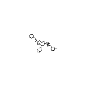 Cc1cccc(/C=N/Nc2cc(N3CCOCC3)n3nc(OCc4ccccc4)cc3n2)c1